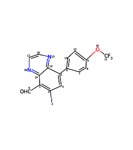 O=Cc1c(I)cc(-c2ccc(OC(F)(F)F)cc2)c2nccnc12